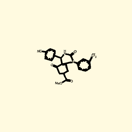 COC(=O)C1CC(=O)C2=C(C1)N(c1cccc(C(F)(F)F)c1)C(=O)NC2c1ccc(C#N)cc1